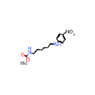 CC(C)(C)OC(=O)NCCCCCCNc1ccc([N+](=O)[O-])cc1